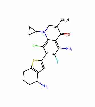 Nc1c(F)c(-c2cc3c(s2)CCCC3N)c(Cl)c2c1c(=O)c(C(=O)O)cn2C1CC1